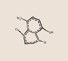 Nc1ccc(O)c2c1[n+]([O-])cc[n+]2[O-]